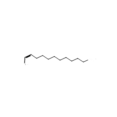 CCCC/C=C\CCCCCCCCCC(=O)O